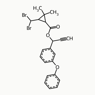 C#CC(OC(=O)C1C(C(Br)Br)C1(C)C)c1cccc(Oc2ccccc2)c1